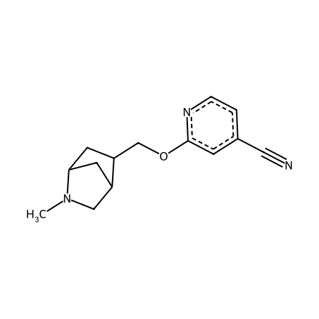 CN1CC2CC1CC2COc1cc(C#N)ccn1